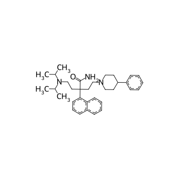 CC(C)N(CCC(CCN1CCC(c2ccccc2)CC1)(C(N)=O)c1cccc2ccccc12)C(C)C